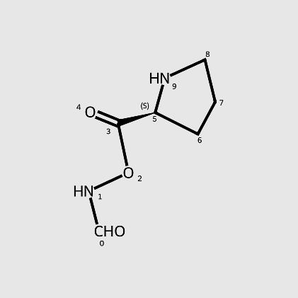 O=CNOC(=O)[C@@H]1CCCN1